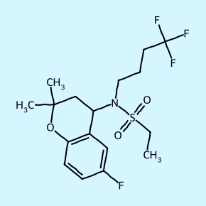 CCS(=O)(=O)N(CCCC(F)(F)F)C1CC(C)(C)Oc2ccc(F)cc21